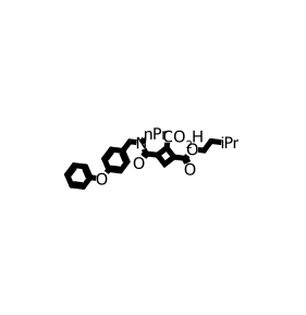 CCCN(Cc1ccc(Oc2ccccc2)cc1)C(=O)C1CC(C(=O)OCCC(C)C)C1C(=O)O